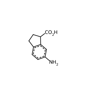 Nc1ccc2c(c1)C(C(=O)O)CC2